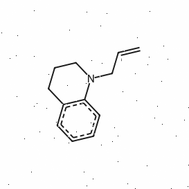 C=CCN1CCCc2ccccc21